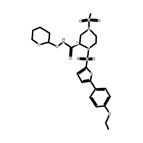 CCOc1ccc(-c2ccc(S(=O)(=O)N3CCN(S(C)(=O)=O)C[C@@H]3C(=O)NOC3CCCCO3)s2)cc1